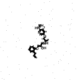 C=CCc1ccccc1OCC(O)CNC(C)COc1ccc(NN)nn1